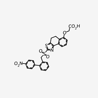 O=C(O)COc1cccc2c1CCc1sc(S(=O)(=O)Cc3ccccc3-c3ccc([N+](=O)[O-])cc3)nc1-2